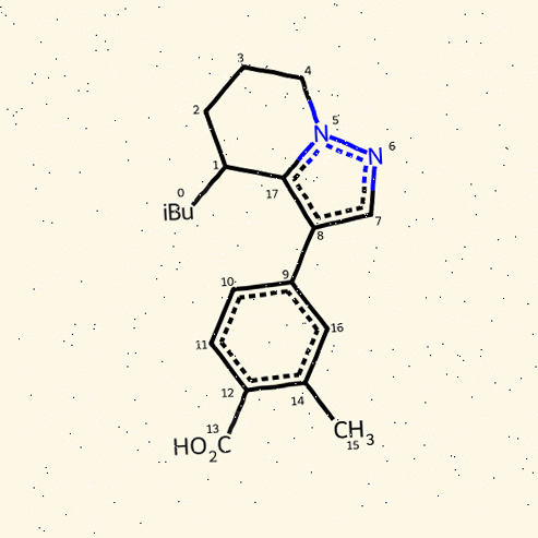 CCC(C)C1CCCn2ncc(-c3ccc(C(=O)O)c(C)c3)c21